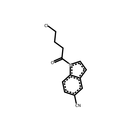 N#Cc1ccc2c(ccn2C(=O)CCCCl)c1